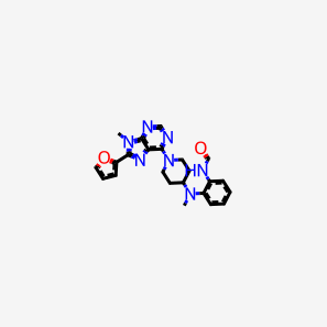 CN(c1ccccc1NC=O)C1CCN(c2ncnc3c2nc(-c2ccco2)n3C)CC1